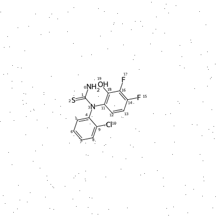 NC(=S)N(c1ccccc1Cl)c1ccc(F)c(F)c1O